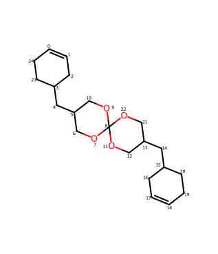 C1=CCC(CC2COC3(OC2)OCC(CC2CC=CCC2)CO3)CC1